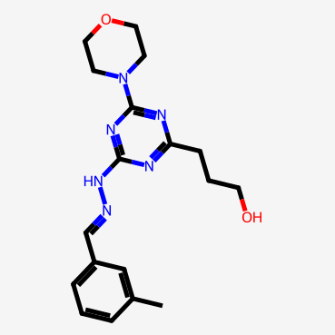 Cc1cccc(C=NNc2nc(CCCO)nc(N3CCOCC3)n2)c1